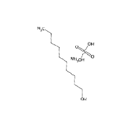 CCCCCCCCCCO.N.O=S(=O)(O)O